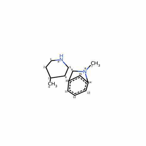 CC1CCNCC1.CN1Cc2cccc1c2